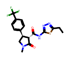 CCc1nnc(NC(=O)[C@@H]2C(=O)N(C)C[C@H]2c2ccc(C(F)(F)F)cc2)s1